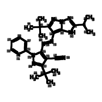 CC(C)c1nn2nc(C(C)(C)C)c(/N=N/c3c(C#N)c(C(C)(C)C)nn3-c3ccccn3)c2[nH]1